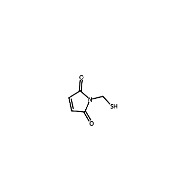 O=C1C=CC(=O)N1CS